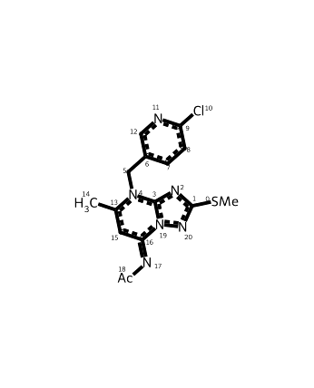 CSc1nc2n(Cc3ccc(Cl)nc3)c(C)c/c(=N\C(C)=O)n2n1